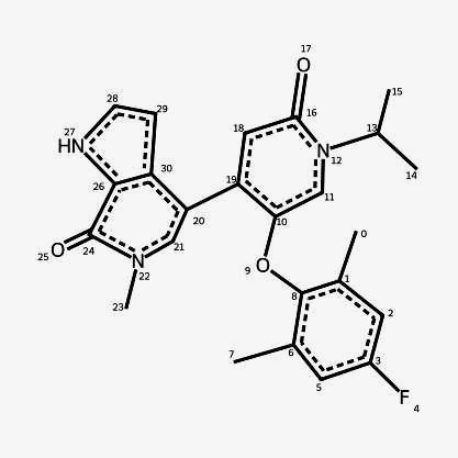 Cc1cc(F)cc(C)c1Oc1cn(C(C)C)c(=O)cc1-c1cn(C)c(=O)c2[nH]ccc12